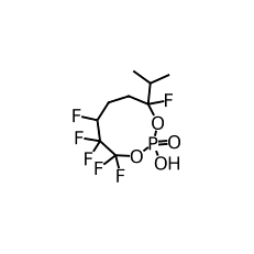 CC(C)C1(F)CCC(F)C(F)(F)C(F)(F)OP(=O)(O)O1